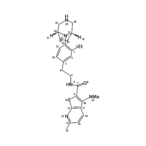 CCc1cc(CCNC(=O)c2sc3nc(C)ccc3c2NC)ccc1N1[C@@H]2CC[C@H]1CNC2